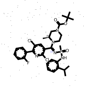 CC(C)c1ccccc1NP(C)(=O)/N=C(/c1cc(Cl)c(-c2ccccc2F)nc1Cl)N1CCN(C(=O)OC(C)(C)C)C[C@@H]1C